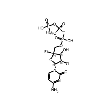 CC[C@]1(COP(=O)(O)OP(=O)(O)OP(=O)(O)O)O[C@@H](n2ccc(N)nc2=O)[C@H](Cl)[C@@H]1O